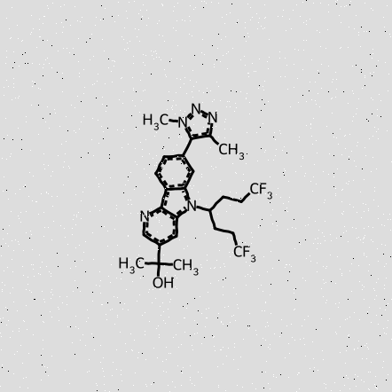 Cc1nnn(C)c1-c1ccc2c3ncc(C(C)(C)O)cc3n(C(CCC(F)(F)F)CCC(F)(F)F)c2c1